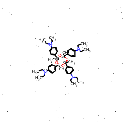 CCN(CC)c1ccc([Si]2(C)O[Si](C)(c3ccc(N(CC)CC)cc3)O[Si](C)(c3ccc(N(CC)CC)cc3)O[Si](C)(c3ccc(N(CC)CC)cc3)O2)cc1